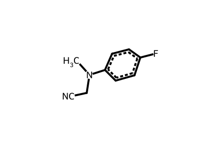 CN(CC#N)c1ccc(F)cc1